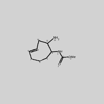 COC(=O)NC1CCC/C=C/CC1N